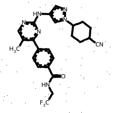 Cc1cnc(Nc2cnn(C3CCC(C#N)CC3)c2)nc1-c1ccc(C(=O)NCC(F)(F)F)cc1